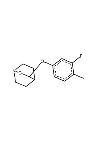 Cc1ccc(OC2CN3CCC2CC3)cc1F